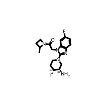 CC1CCN1C(=O)Cn1c(N2CC[C@@H](F)[C@H](N)C2)nc2ccc(F)cc21